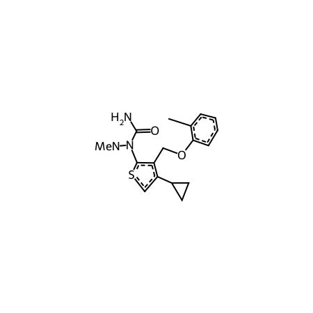 CNN(C(N)=O)c1scc(C2CC2)c1COc1ccccc1C